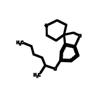 CCCCC(C)Oc1ccc2c(c1)C1(CC[N]CC1)CO2